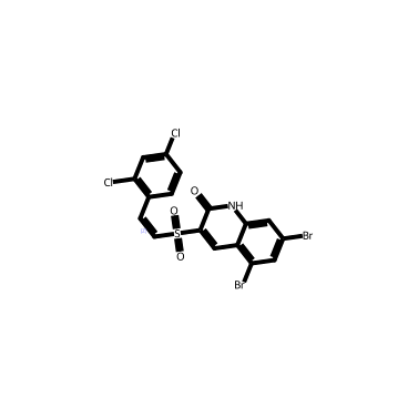 O=c1[nH]c2cc(Br)cc(Br)c2cc1S(=O)(=O)/C=C\c1ccc(Cl)cc1Cl